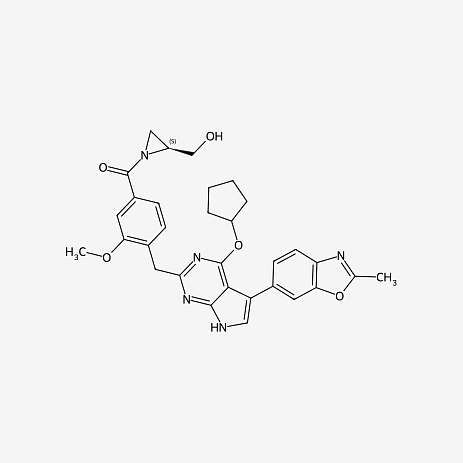 COc1cc(C(=O)N2C[C@H]2CO)ccc1Cc1nc(OC2CCCC2)c2c(-c3ccc4nc(C)oc4c3)c[nH]c2n1